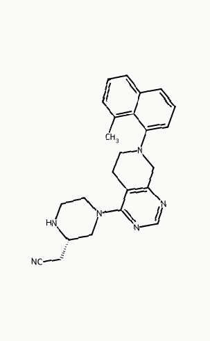 Cc1cccc2cccc(N3CCc4c(ncnc4N4CCN[C@@H](CC#N)C4)C3)c12